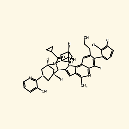 Cc1nc2c(F)c(-c3cccc(Cl)c3Cl)c(CCC#N)cc2c2c1cc([C@H]1[C@H]3C[C@H](CN(c4ncccc4C#N)C3)N1C(=O)C1CC1)n2[C@H]1[C@H]2CN[C@@H]1C2